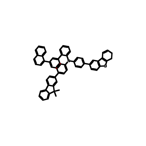 CC1(C)c2ccccc2-c2ccc(-c3ccc(N(c4ccc(-c5ccc6oc7c(c6c5)C=CCC7)cc4)c4ccccc4-c4cccc(-c5cccc6ccccc56)c4)cc3)cc21